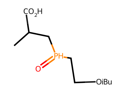 CC(C)COCC[PH](=O)CC(C)C(=O)O